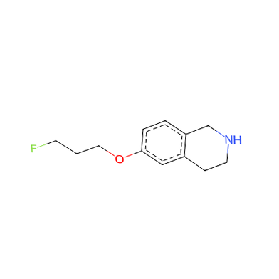 FCCCOc1ccc2c(c1)CCNC2